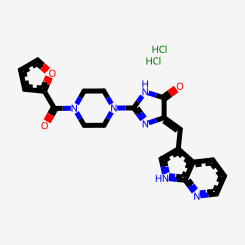 Cl.Cl.O=C1NC(N2CCN(C(=O)c3ccco3)CC2)=NC1=Cc1c[nH]c2ncccc12